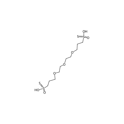 O=S(O)(=S)CCCOCCOCCOCCCS(=O)(O)=S